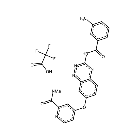 CNC(=O)c1cc(Oc2ccc3nc(NC(=O)c4cccc(C(F)(F)F)c4)nnc3c2)ccn1.O=C(O)C(F)(F)F